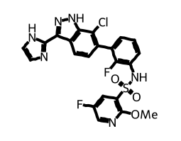 COc1ncc(F)cc1S(=O)(=O)Nc1cccc(-c2ccc3c(-c4ncc[nH]4)n[nH]c3c2Cl)c1F